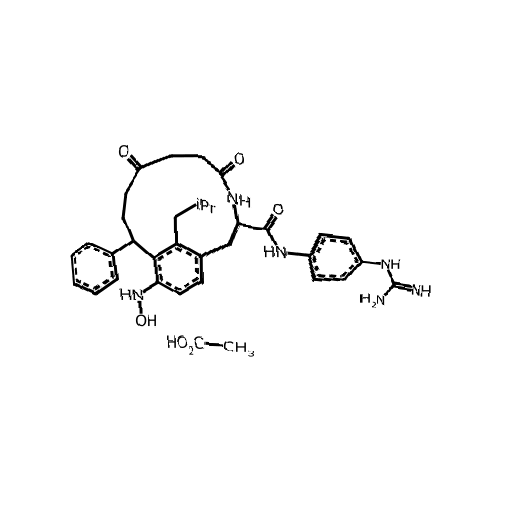 CC(=O)O.CC(C)Cc1c2ccc(NO)c1C(c1ccccc1)CCC(=O)CCC(=O)NC(C(=O)Nc1ccc(NC(=N)N)cc1)C2